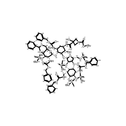 CC(C)(C)OC(=O)N1CC(O)(C(=O)N[C@@H]2C[C@H](NC(=O)OCc3ccccc3)[C@@H](O[C@H]3O[C@@H]4COC(c5ccccc5)O[C@H]4[C@H](O[Si](C)(C)C(C)(C)C)[C@H]3NC(=O)OCc3ccccc3)[C@H](O[C@@H]3O[C@H](CO[Si](C)(C)C(C)(C)C)[C@@H](O[C@H]4C[C@@H](CNC(=O)OCc5ccccc5)[C@@H](O[Si](C)(C)C(C)(C)C)[C@H](O[Si](C)(C)C(C)(C)C)[C@H]4NC(=O)OCc4ccccc4)[C@H]3O[Si](C)(C)C(C)(C)C)[C@H]2O)C1